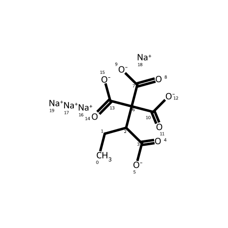 CCC(C(=O)[O-])C(C(=O)[O-])(C(=O)[O-])C(=O)[O-].[Na+].[Na+].[Na+].[Na+]